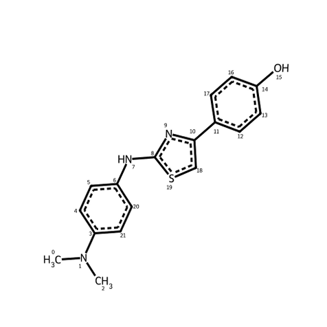 CN(C)c1ccc(Nc2nc(-c3ccc(O)cc3)cs2)cc1